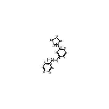 c1ccc(NCc2cccc(N3CCCC3)c2)cc1